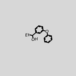 CCC(O)c1cccc(Oc2ccccc2)c1